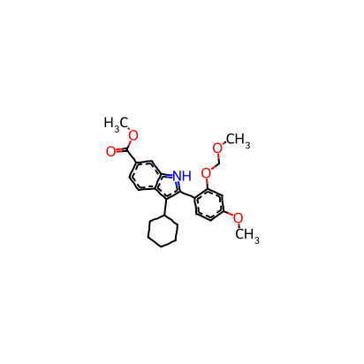 COCOc1cc(OC)ccc1-c1[nH]c2cc(C(=O)OC)ccc2c1C1CCCCC1